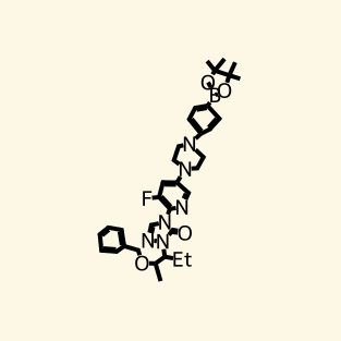 CCC(C(C)OCc1ccccc1)n1ncn(-c2ncc(N3CCN(c4ccc(B5OC(C)(C)C(C)(C)O5)cc4)CC3)cc2F)c1=O